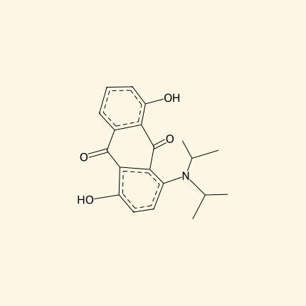 CC(C)N(c1ccc(O)c2c1C(=O)c1c(O)cccc1C2=O)C(C)C